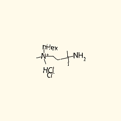 CCCCCC[N+](C)(C)CCC(C)(C)N.Cl.[Cl-]